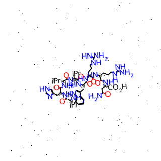 CC(C)[C@H](N)C(=O)N[C@@H](Cc1c[nH]cn1)C(=O)N[C@H](C(=O)N[C@H](C(=O)N[C@@H](Cc1c[nH]c2ccccc12)C(=O)N[C@@H](CCCNC(=N)N)C(=O)N[C@@H](CCCNC(=N)N)C(=O)N[C@@H](CC(N)=O)C(=O)O)C(C)C)C(C)C